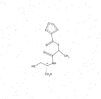 CC(SC(=O)c1cccs1)C(=O)N[C@@H](CS)C(=O)O